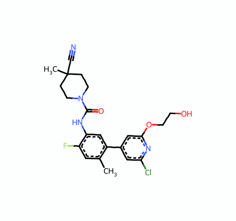 Cc1cc(F)c(NC(=O)N2CCC(C)(C#N)CC2)cc1-c1cc(Cl)nc(OCCO)c1